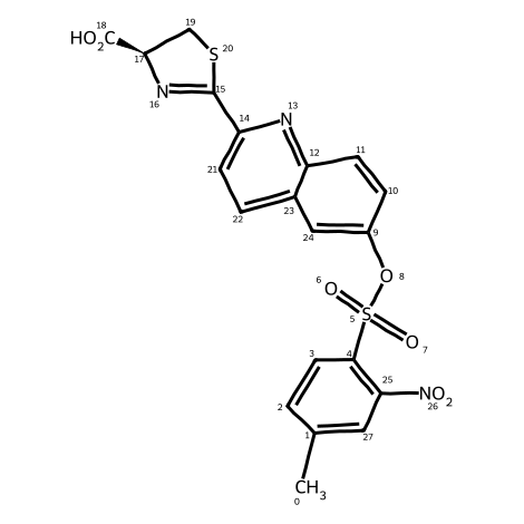 Cc1ccc(S(=O)(=O)Oc2ccc3nc(C4=N[C@@H](C(=O)O)CS4)ccc3c2)c([N+](=O)[O-])c1